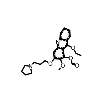 CCOc1c2ccccc2nc2cc(OCCCN3CCCC3)c(OC)c(OC=O)c12